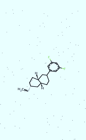 C=C[C@@H]1CC[C@@H]2CC(c3cc(F)cc(F)c3)CC[C@@H]2C1